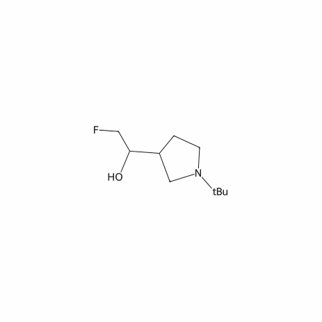 CC(C)(C)N1CCC(C(O)CF)C1